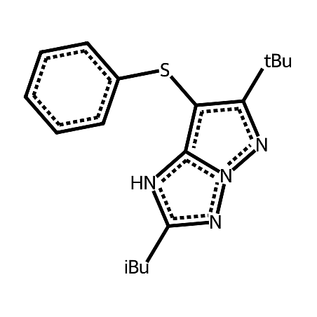 CCC(C)c1nn2nc(C(C)(C)C)c(Sc3ccccc3)c2[nH]1